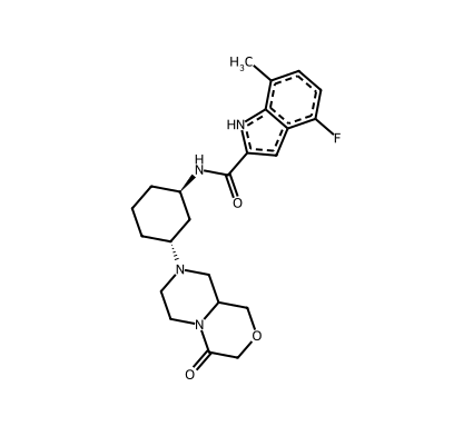 Cc1ccc(F)c2cc(C(=O)N[C@@H]3CCC[C@@H](N4CCN5C(=O)COCC5C4)C3)[nH]c12